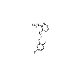 Nc1ncccc1OCCc1cc(F)ccc1I